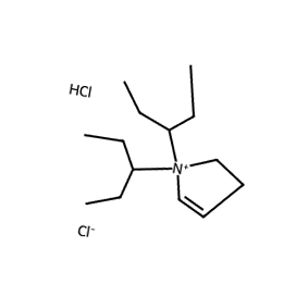 CCC(CC)[N+]1(C(CC)CC)C=CCC1.Cl.[Cl-]